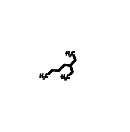 [CH2]CC(C[CH2])CCCC